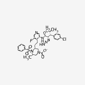 CC(C)[C@H](c1ccc(Cl)cc1)[C@H](N=[N+]=N)C(=O)Nc1cncc(F)c1CCC1CN(C(=O)[O-])CC(C)N1S(=O)(=O)c1ccccc1